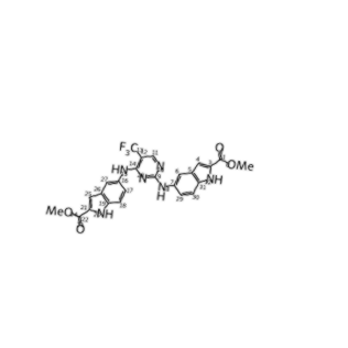 COC(=O)c1cc2cc(Nc3ncc(C(F)(F)F)c(Nc4ccc5[nH]c(C(=O)OC)cc5c4)n3)ccc2[nH]1